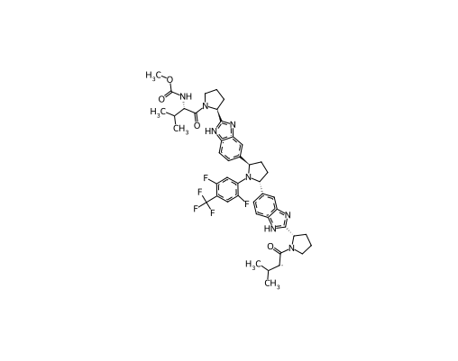 COC(=O)N[C@H](C(=O)N1CCC[C@H]1c1nc2cc([C@H]3CC[C@H](c4ccc5[nH]c([C@@H]6CCCN6C(=O)[CH]C(C)C)nc5c4)N3c3cc(F)c(C(F)(F)F)cc3F)ccc2[nH]1)C(C)C